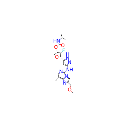 COCc1cn2c(Nc3cc([C@@H]4OC[C@H](OC(=O)NC(C)C)[C@H]4F)[nH]n3)ncc(C)c2n1